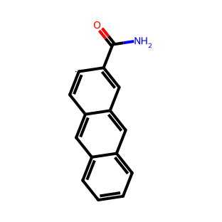 NC(=O)c1[c]cc2cc3ccccc3cc2c1